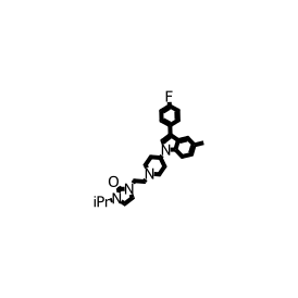 CC1=CCC2C(=C1)C(c1ccc(F)cc1)=CN2C1CCN(CCN2CCN(C(C)C)C2=O)CC1